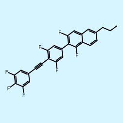 CCCc1ccc2c(F)c(-c3cc(F)c(C#Cc4cc(F)c(F)c(F)c4)c(F)c3)c(F)cc2c1